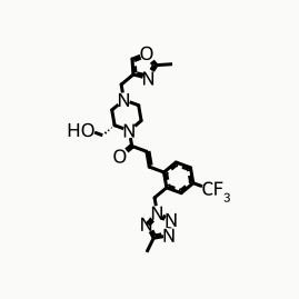 Cc1nnn(Cc2cc(C(F)(F)F)ccc2C=CC(=O)N2CCN(Cc3coc(C)n3)C[C@H]2CO)n1